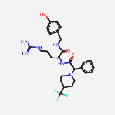 N=C(N)NCCC[C@@H](NC(=O)C(c1ccccc1)N1CCC(C(F)(F)F)CC1)C(=O)NCc1ccc(O)cc1